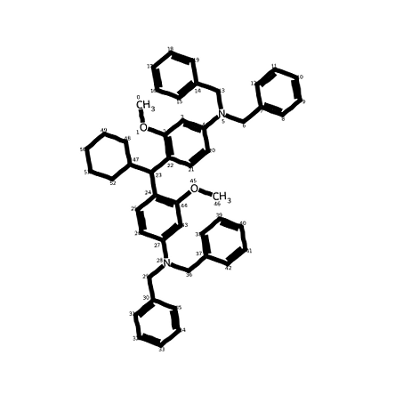 COc1cc(N(Cc2ccccc2)Cc2ccccc2)ccc1C(c1ccc(N(Cc2ccccc2)Cc2ccccc2)cc1OC)C1CCCCC1